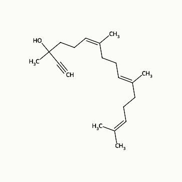 C#CC(C)(O)CC/C=C(/C)CC/C=C(\C)CCC=C(C)C